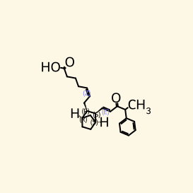 CC(C(=O)/C=C/[C@H]1[C@H]2CC[C@H](C2)[C@H]1C/C=C\CCCC(=O)O)c1ccccc1